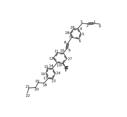 CC#CCc1ccc(C#Cc2ccc(-c3ccc(CCCCC)cc3)c(F)c2)cc1